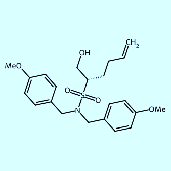 C=CCC[C@@H](CO)S(=O)(=O)N(Cc1ccc(OC)cc1)Cc1ccc(OC)cc1